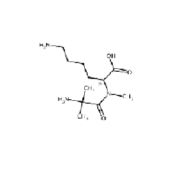 CN(C(=O)C(C)(C)N)[C@@H](CCCCN)C(=O)O